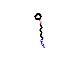 [N-]=[N+]=NCCCCCCOc1ccccc1